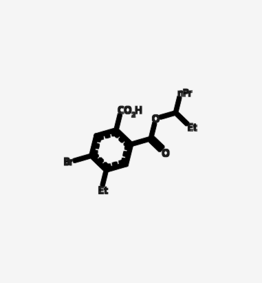 CCCC(CC)OC(=O)c1cc(CC)c(Br)cc1C(=O)O